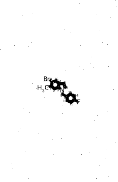 Cc1cc2c(ccn2Cc2ccc(F)cc2)cc1Br